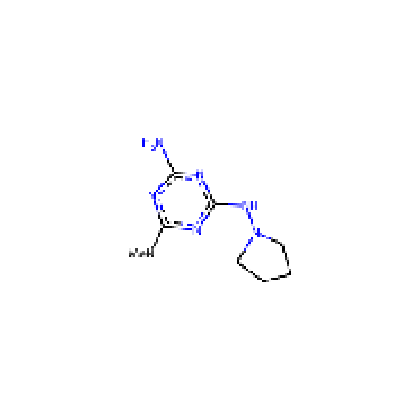 CNc1nc(N)nc(NN2CCCC2)n1